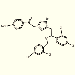 COc1ccc(C(=O)Cn2cc[n+](CC(OCc3ccc(Cl)cc3Cl)c3ccc(Cl)cc3Cl)c2)cc1.[Br-]